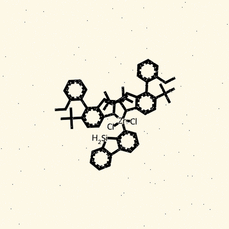 CCc1ccccc1-c1c(C(C)(C)C)ccc2c1C=C(C(C)C)[CH]2[Zr]([Cl])([Cl])([c]1cccc2c1[SiH2]c1ccccc1-2)[CH]1C(C(C)C)=Cc2c1ccc(C(C)(C)C)c2-c1ccccc1CC